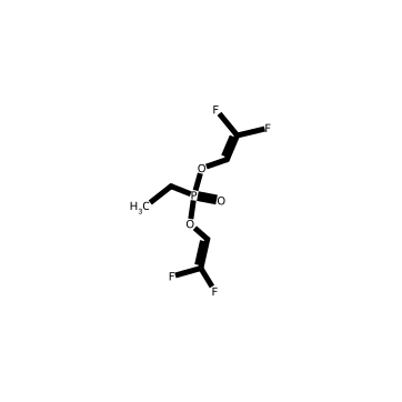 CCP(=O)(OC=C(F)F)OC=C(F)F